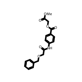 COC(=O)COC(=O)c1ccc(NC(=O)COCc2ccccc2)cc1